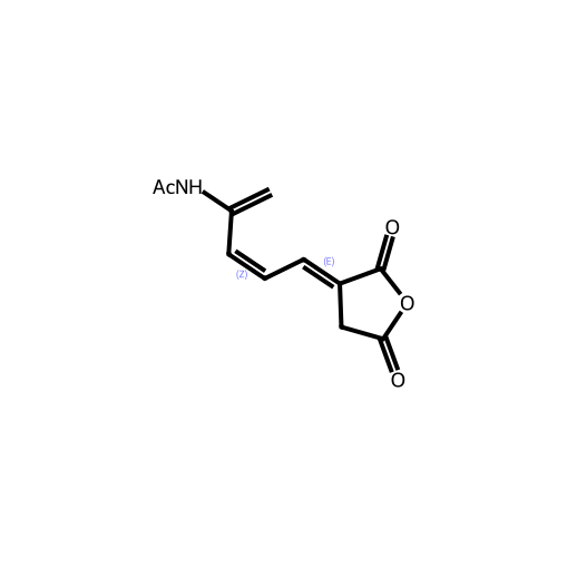 C=C(/C=C\C=C1/CC(=O)OC1=O)NC(C)=O